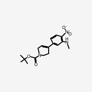 CNc1cc(C2=CCN(C(=O)OC(C)(C)C)CC2)ccc1[N+](=O)[O-]